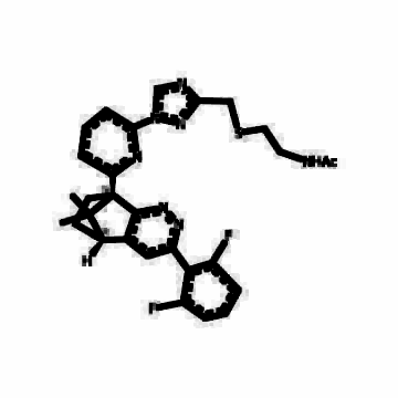 CC(=O)NCCSCc1ncn(-c2cccc([C@@]34CC[C@@H](c5cc(-c6c(F)cccc6F)nnc53)C4(C)C)n2)n1